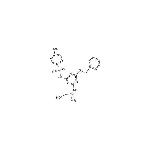 Cc1ccc(S(=O)(=O)Nc2cc(N[C@H](C)CO)nc(SCc3ccccc3)n2)cc1